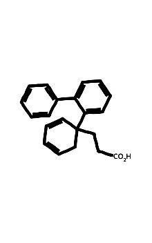 O=C(O)CCC1(c2ccccc2-c2ccccc2)C=CC=CC1